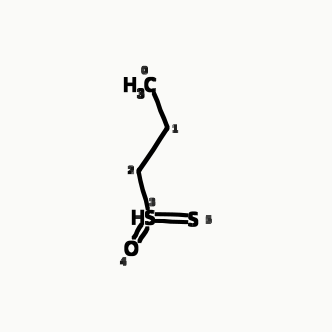 CCC[SH](=O)=S